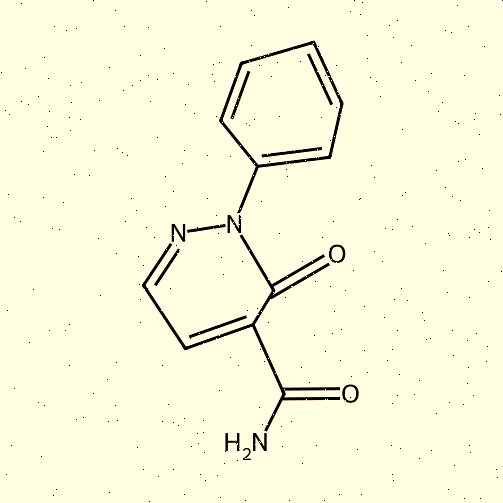 NC(=O)c1ccnn(-c2ccccc2)c1=O